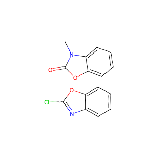 Clc1nc2ccccc2o1.Cn1c(=O)oc2ccccc21